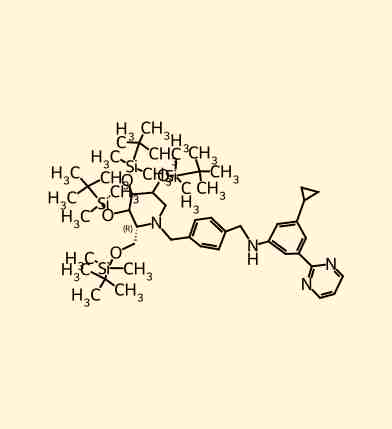 CC(C)(C)[Si](C)(C)OC[C@@H]1C(O[Si](C)(C)C(C)(C)C)C(O[Si](C)(C)C(C)(C)C)C(O[Si](C)(C)C(C)(C)C)CN1Cc1ccc(CNc2cc(-c3ncccn3)cc(C3CC3)c2)cc1